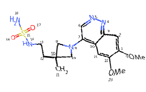 COc1cc2nncc(N3CC(C)(CCNS(N)(=O)=O)C3)c2cc1OC